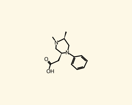 C[C@H]1CN(c2ccccc2)[C@@H](CC(=O)O)CN1C